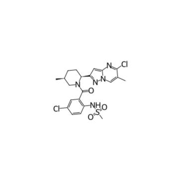 Cc1cn2nc([C@@H]3CC[C@H](C)CN3C(=O)c3cc(Cl)ccc3NS(C)(=O)=O)cc2nc1Cl